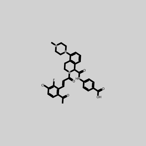 CC(=O)c1ccc(Cl)c(F)c1/C=C/C(=O)N1CCc2c(cccc2N2CCN(C)CC2)C1C(=O)Nc1ccc(C(=O)O)cc1